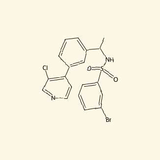 CC(NS(=O)(=O)c1cccc(Br)c1)c1cccc(-c2ccncc2Cl)c1